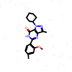 COc1cc(C)ccc1-c1nc2c(C)nn(C3CCCCC3)c2c(=O)[nH]1